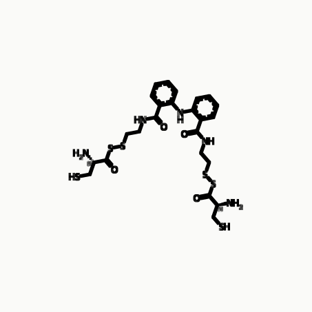 N[C@@H](CS)C(=O)SSCCNC(=O)c1ccccc1Nc1ccccc1C(=O)NCCSSC(=O)[C@@H](N)CS